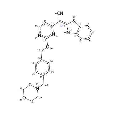 N#C/C(=C1/Nc2ccccc2S1)c1ccnc(OCc2ccc(CN3CCOCC3)cc2)n1